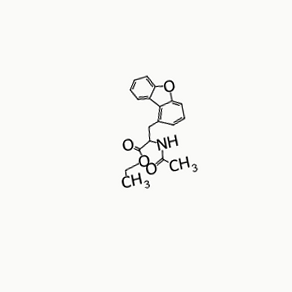 CCOC(=O)C(Cc1cccc2oc3ccccc3c12)NC(C)=O